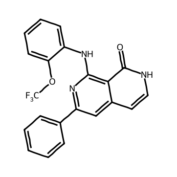 O=c1[nH]ccc2cc(-c3ccccc3)nc(Nc3ccccc3OC(F)(F)F)c12